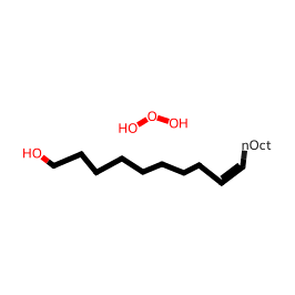 CCCCCCCC/C=C\CCCCCCCCO.OOO